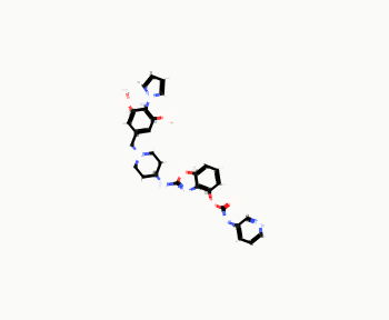 CCOc1cc(CN2CCC(Nc3nc4c(OC(=O)Nc5cccnc5)cccc4o3)CC2)cc(OCC)c1-n1cccc1